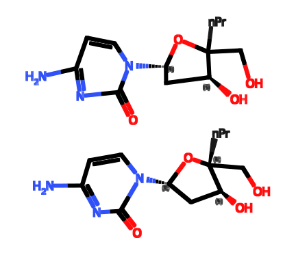 CCCC1(CO)O[C@@H](n2ccc(N)nc2=O)C[C@@H]1O.CCC[C@]1(CO)O[C@@H](n2ccc(N)nc2=O)C[C@@H]1O